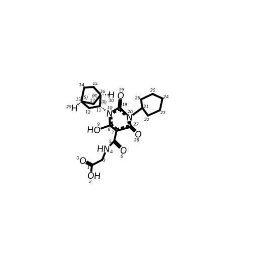 O=C(O)CNC(=O)c1c(O)n([C@@H]2C[C@H]3CC[C@@H]2C3)c(=O)n(C2CCCCC2)c1=O